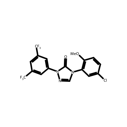 COc1ccc(Cl)cc1-n1cnn(-c2cc(C(F)(F)F)cc(C(F)(F)F)c2)c1=O